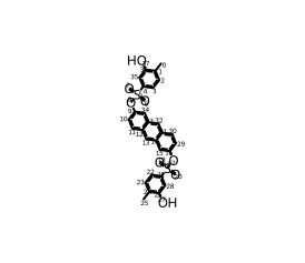 Cc1ccc(S(=O)(=O)Oc2ccc3cc4cc(OS(=O)(=O)c5ccc(C)c(O)c5)ccc4cc3c2)cc1O